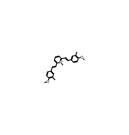 COc1ccc(/C=C/c2cccc(/C=C/c3ccc(OC)c(C)c3)[n+]2C)cc1C